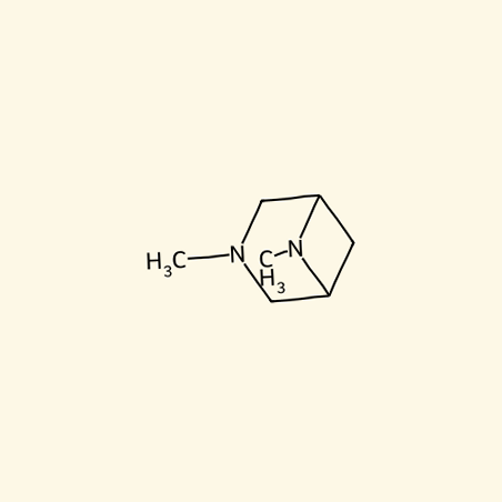 CN1CC2CC(C1)N2C